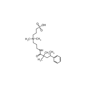 CC(CC(C)(C)C(=O)NCCC[N+](C)(C)CCCS(=O)(=O)O)c1ccccc1